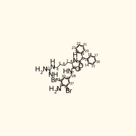 N=C(N)NCCCCC(NC(=O)C(c1ccccc1)c1ccccc1)C(=O)NCc1cc(Br)c(N)c(Br)c1